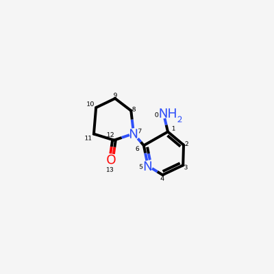 Nc1cccnc1N1CCCCC1=O